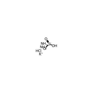 Cl.N.N.O=[Si]([O-])O.[K+]